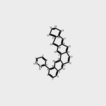 b1cccc(-c2cccc3cc4ccc5cc6cc7ccccc7cc6cc5c4cc23)n1